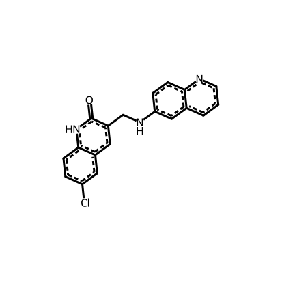 O=c1[nH]c2ccc(Cl)cc2cc1CNc1ccc2ncccc2c1